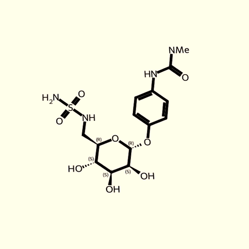 CNC(=O)Nc1ccc(O[C@H]2O[C@H](CNS(N)(=O)=O)[C@@H](O)[C@H](O)[C@@H]2O)cc1